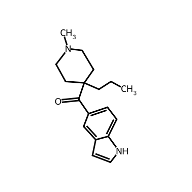 CCCC1(C(=O)c2ccc3[nH]ccc3c2)CCN(C)CC1